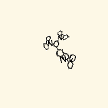 c1ccc2c(c1)oc1cc3cc(-c4cc(-n5c6ccccc6c6ccccc65)cc(-n5c6ccccc6c6ccccc65)c4)ccc3nc12